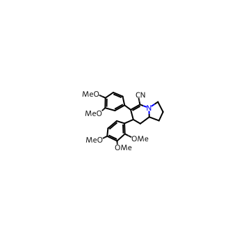 COc1ccc(C2=C(C#N)N3CCCC3CC2c2ccc(OC)c(OC)c2OC)cc1OC